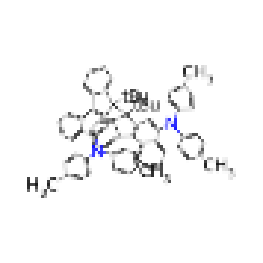 Cc1ccc(N(c2ccc(C)cc2)c2cc3c(c4ccccc24)-c2ccccc2C3(C(C)(C)C)C2(C(C)(C)C)c3ccccc3-c3c2cc(N(c2ccc(C)cc2)c2ccc(C)cc2)c2ccccc32)cc1